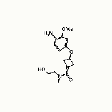 COc1cc(OC2CN(C(=O)N(C)CCO)C2)ccc1N